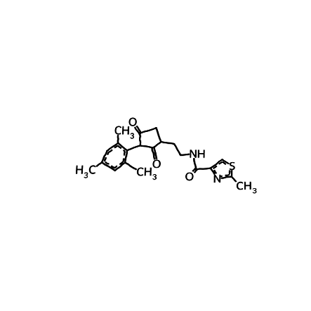 Cc1cc(C)c(C2C(=O)CC(CCNC(=O)c3csc(C)n3)C2=O)c(C)c1